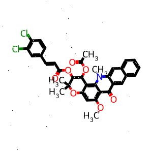 COc1cc2c(c3c1c(=O)c1cc4ccccc4cc1n3C)C(OC(C)=O)C(OC(=O)/C=C/c1ccc(Cl)c(Cl)c1)C(C)(C)O2